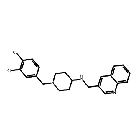 Clc1ccc(CN2CCC(NCc3cnc4ccccc4c3)CC2)cc1Cl